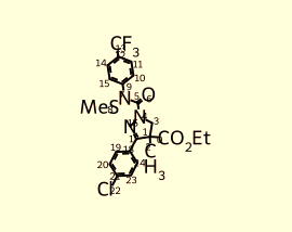 CCOC(=O)C1(C)CN(C(=O)N(SC)c2ccc(C(F)(F)F)cc2)N=C1c1ccc(Cl)cc1